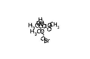 COc1ccccc1-c1ccc2c(c1)C(C(C)OCCc1cccc(Br)c1)=CC(C)(C)N2